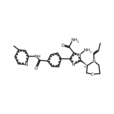 CC=CN1CCCC[C@H]1c1nc(-c2ccc(C(=O)Nc3cc(C)ccn3)cc2)c(C(N)=O)n1N